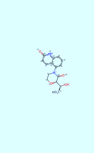 O=C(O)[C@H](O)[C@H]1OCCN(c2cccc3[nH]c(=O)ccc23)C1=O